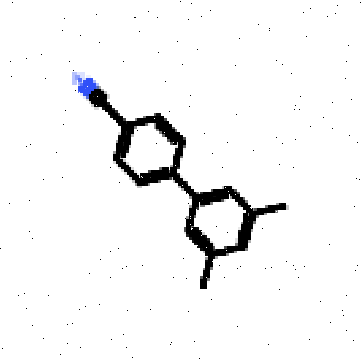 Cc1cc(C)cc(-c2ccc(C#N)cc2)c1